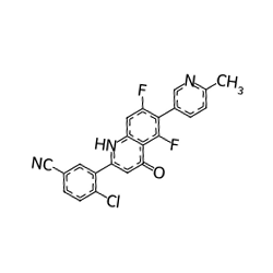 Cc1ccc(-c2c(F)cc3[nH]c(-c4cc(C#N)ccc4Cl)cc(=O)c3c2F)cn1